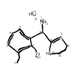 Cc1cccc(C(N)C2=NCCN2)c1Cl.Cl